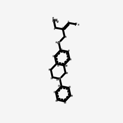 NC/C(=C/F)COc1ccc2c(c1)CCN(c1ccccc1)C2